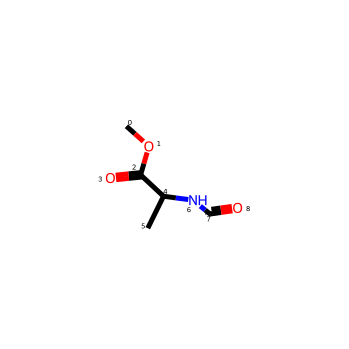 COC(=O)C(C)N[C]=O